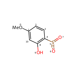 COc1ccc([SH](=O)=O)c(O)c1